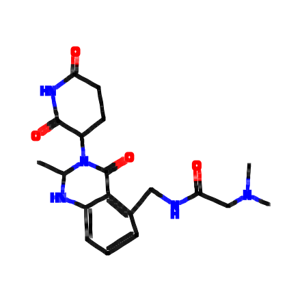 CC1Nc2cccc(CNC(=O)CN(C)C)c2C(=O)N1C1CCC(=O)NC1=O